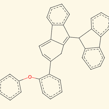 C1=C(c2ccccc2Oc2ccccc2)CC2=C(C3c4ccccc4-c4ccccc43)c3ccccc3C2=C1